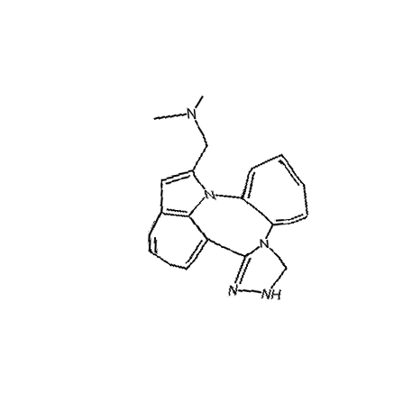 CN(C)Cc1cc2cccc3c4n(c5ccccc5n1c23)CNN=4